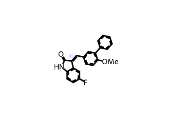 COc1ccc(/C=C2/C(=O)Nc3ccc(F)cc32)cc1-c1ccccc1